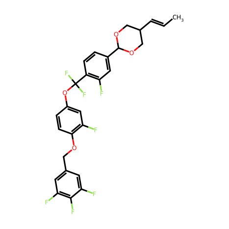 C/C=C/C1COC(c2ccc(C(F)(F)Oc3ccc(OCc4cc(F)c(F)c(F)c4)c(F)c3)c(F)c2)OC1